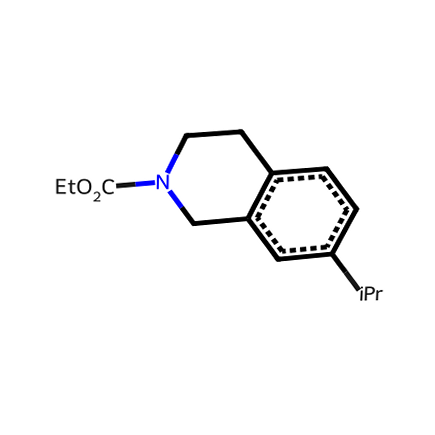 CCOC(=O)N1CCc2ccc(C(C)C)cc2C1